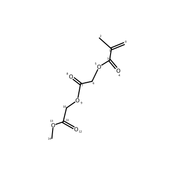 C=C(C)C(=O)OCC(=O)OCC(=O)OC